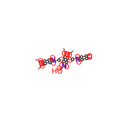 CCCCOC(=O)c1ccc2c3ccc4c5c(ccc(c6ccc(C(=O)OCCCC)c1c26)c53)C(=O)N(CCc1ccc(Oc2cc3c5c(ccc6c7c(Oc8ccc(CCN9C(=O)c%10ccc%11c%12ccc(C(C)=O)c%13c(C(C)=O)ccc(c%14ccc(c%10c%11%14)C9=O)c%13%12)cc8)cc(C(=O)OCCCC)c8c(C(=O)OCCCC)ccc(c2c56)c87)C(=O)N(CCCC(=O)O)C3=O)cc1)C4=O